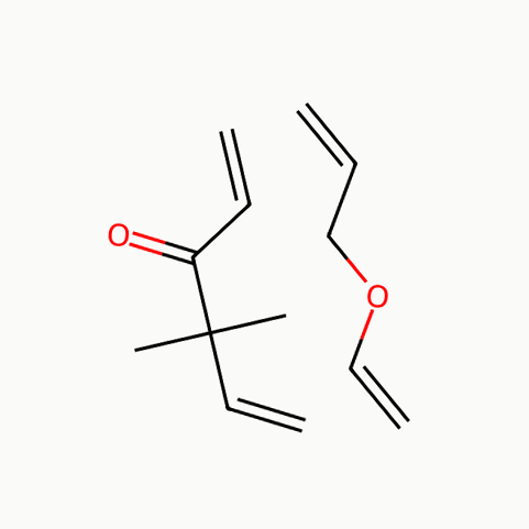 C=CC(=O)C(C)(C)C=C.C=CCOC=C